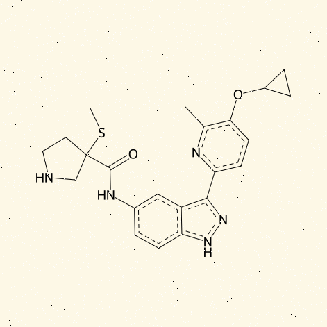 CSC1(C(=O)Nc2ccc3[nH]nc(-c4ccc(OC5CC5)c(C)n4)c3c2)CCNC1